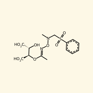 C/C(=N\ON(C)CS(=O)(=O)c1ccccc1)O[C@@H](C(=O)O)[C@@H](O)C(=O)O